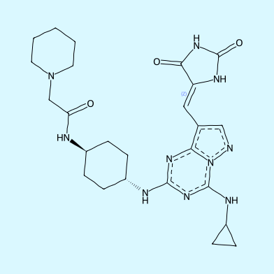 O=C1NC(=O)/C(=C/c2cnn3c(NC4CC4)nc(N[C@H]4CC[C@H](NC(=O)CN5CCCCC5)CC4)nc23)N1